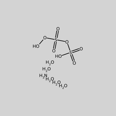 N.O.O.O.O.O.O=S(=O)(O)OS(=O)(=O)OO